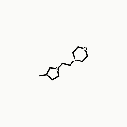 CC1CCN(CCN2CCOCC2)C1